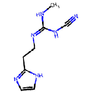 CNC(=NCCc1ncc[nH]1)NC#N